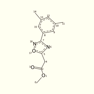 COC(=O)Cc1nc(-c2cc(C)cc(C)c2)no1